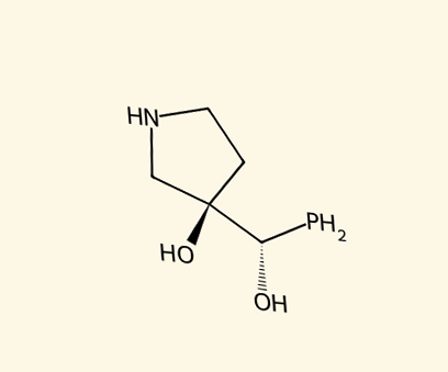 O[C@@H](P)[C@@]1(O)CCNC1